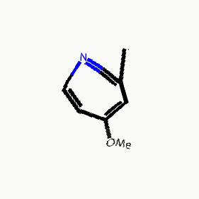 [CH2]c1cc(OC)ccn1